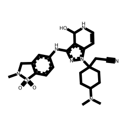 CN(C)C1CCC(CC#N)(n2nc(Nc3ccc4c(c3)CN(C)S4(=O)=O)c3c2C=CNC3O)CC1